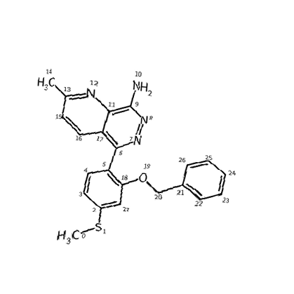 CSc1ccc(-c2nnc(N)c3nc(C)ccc23)c(OCc2ccccc2)c1